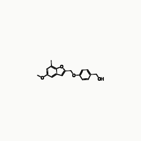 COc1cc(C)c2oc(COc3ccc(CO)cc3)cc2c1